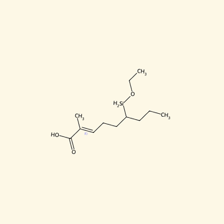 CCCC(CC/C=C(\C)C(=O)O)[SiH2]OCC